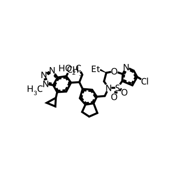 CC[C@@H]1CN(Cc2cc(C(CC(=O)O)c3cc(C4CC4)c4c(nnn4C)c3C)cc3c2CCC3)S(=O)(=O)c2cc(Cl)cnc2O1